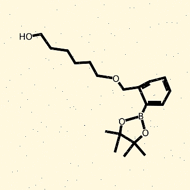 CC1(C)OB(c2ccccc2COCCCCCCO)OC1(C)C